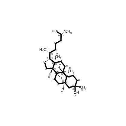 C[C@H](CCC[C@@H](C)O)[C@H]1CC[C@H]2[C@@H]3CC[C@@H]4C[C@@](C)(O)CC[C@]4(C)[C@H]3CC[C@]12C